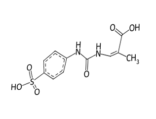 CC(=CNC(=O)Nc1ccc(S(=O)(=O)O)cc1)C(=O)O